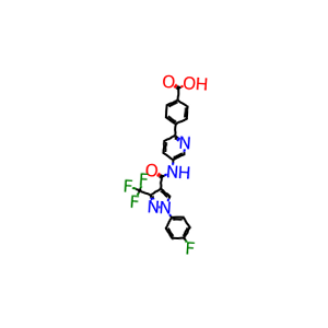 O=C(O)c1ccc(-c2ccc(NC(=O)c3cn(-c4ccc(F)cc4)nc3C(F)(F)F)cn2)cc1